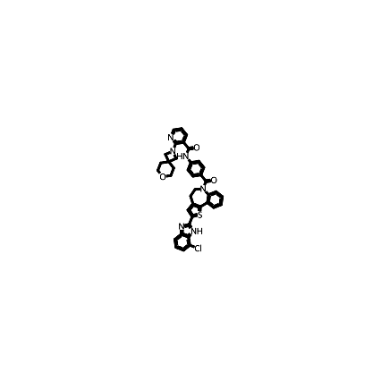 O=C(Nc1ccc(C(=O)N2CCc3cc(-c4nc5cccc(Cl)c5[nH]4)sc3-c3ccccc32)cc1)c1cccnc1N1CC2(CCOCC2)C1